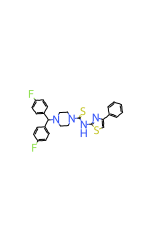 Fc1ccc(C(c2ccc(F)cc2)N2CCN(C(=S)Nc3nc(-c4ccccc4)cs3)CC2)cc1